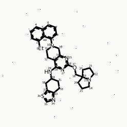 CCc1cccc2cccc(N3CCc4c(nc(OCC56CCCN5CCC6)nc4NC4CCc5ncsc5C4)C3)c12